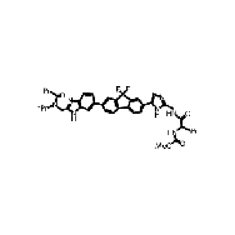 CCCC(=O)N(CCC)Cc1nc2ccc(-c3ccc4c(c3)C(F)(F)c3cc(-c5cnc(CNC(=O)C(NC(=O)OC)C(C)C)[nH]5)ccc3-4)cc2[nH]1